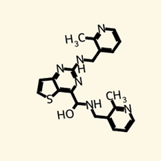 Cc1ncccc1CNc1nc(C(O)NCc2cccnc2C)c2sccc2n1